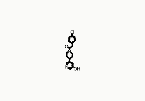 O=C(Cc1ccc(Cl)cc1)N1CCC(c2cncc(O)c2)CC1